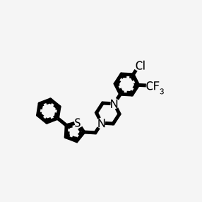 FC(F)(F)c1cc(N2CCN(Cc3ccc(-c4ccccc4)s3)CC2)ccc1Cl